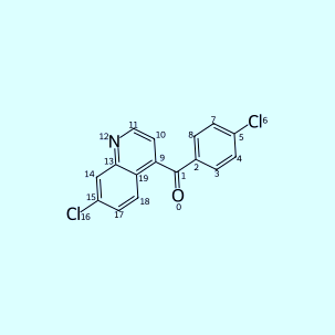 O=C(c1ccc(Cl)cc1)c1ccnc2cc(Cl)ccc12